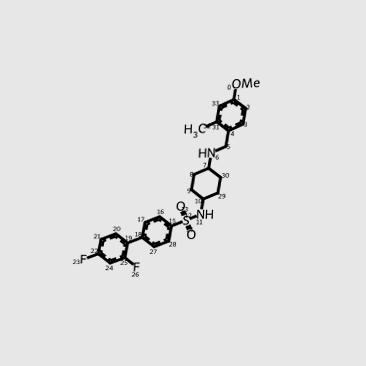 COc1ccc(CNC2CCC(NS(=O)(=O)c3ccc(-c4ccc(F)cc4F)cc3)CC2)c(C)c1